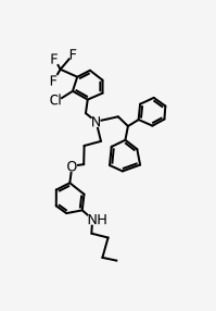 CCCCNc1cccc(OCCCN(Cc2cccc(C(F)(F)F)c2Cl)CC(c2ccccc2)c2ccccc2)c1